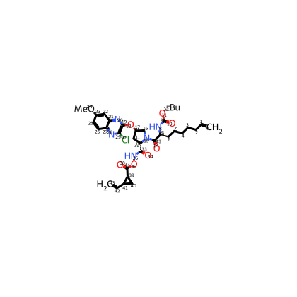 C=CCCCCC[C@H](NC(=O)OC(C)(C)C)C(=O)N1C[C@H](Oc2nc3cc(OC)ccc3nc2Cl)C[C@H]1C(=O)NOC(=O)C1CC1C=C